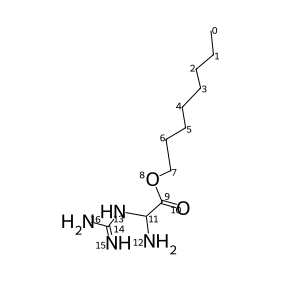 CCCCCCCCOC(=O)C(N)NC(=N)N